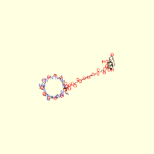 C/C=C/C[C@@H](C)[C@@H](OC(=O)OCOC(=O)CCC(=O)OCCOCCOCCOCCOC(=O)CCC(=O)OCC(=O)[C@@]1(O)[C@H](C)C[C@@H]2C3CCC4=CC(=O)C=C[C@]4(C)[C@@]3(F)[C@@H](O)C[C@@]21C)C1C(=O)NC(CC)C(=O)N(C)CC(=O)N(C)[C@@H](CC(C)C)C(=O)NC(C(C)C)C(=O)N(C)C(CC(C)C)C(=O)NC(C)C(=O)NC(C)C(=O)N(C)C(CC(C)C)C(=O)N(C)C(CC(C)C)C(=O)N(C)C(C(C)C)C(=O)N1C